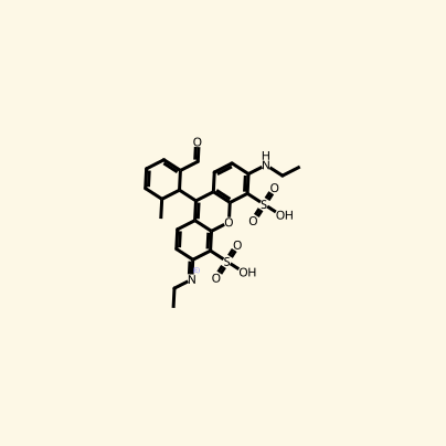 CC/N=c1\ccc2c(C3C(C=O)=CC=CC3C)c3ccc(NCC)c(S(=O)(=O)O)c3oc-2c1S(=O)(=O)O